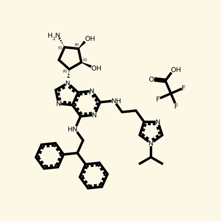 CC(C)n1cnc(CCNc2nc(NCC(c3ccccc3)c3ccccc3)c3ncn([C@@H]4C[C@H](N)[C@@H](O)[C@H]4O)c3n2)c1.O=C(O)C(F)(F)F